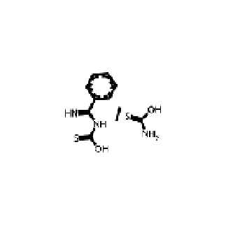 CC.N=C(NC(O)=S)c1ccccc1.NC(O)=S